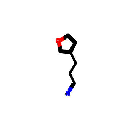 [N]=CCCc1ccoc1